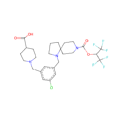 O=C(O)C1CCN(Cc2cc(Cl)cc(CN3CCCC34CCN(C(=O)OC(C(F)(F)F)C(F)(F)F)CC4)c2)CC1